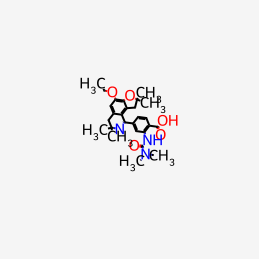 CCOc1cc2c(c3c1OC(C)(C)C3)C(c1ccc(C(=O)O)c(NC(=O)N(C)C)c1)=NC(C)(C)C2